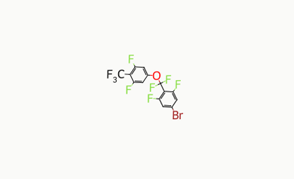 Fc1cc(OC(F)(F)c2c(F)cc(Br)cc2F)cc(F)c1C(F)(F)F